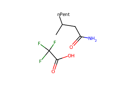 CCCCCC(C)CC(N)=O.O=C(O)C(F)(F)F